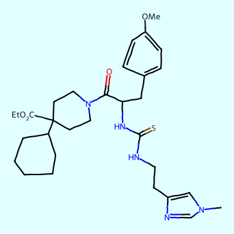 CCOC(=O)C1(C2CCCCC2)CCN(C(=O)C(Cc2ccc(OC)cc2)NC(=S)NCCc2cn(C)cn2)CC1